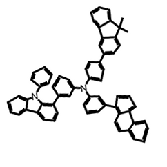 CC1(C)c2ccccc2-c2cc(-c3ccc(N(c4cccc(-c5cccc6c5ccc5ccccc56)c4)c4cccc(-c5cccc6c7ccccc7n(-c7ccccc7)c56)c4)cc3)ccc21